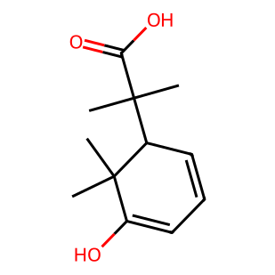 CC(C)(C(=O)O)C1C=CC=C(O)C1(C)C